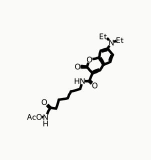 CCN(CC)c1ccc2cc(C(=O)NCCCCCC(=O)NOC(C)=O)c(=O)oc2c1